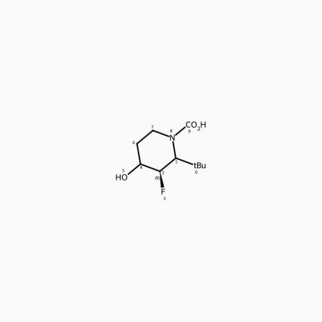 CC(C)(C)C1[C@@H](F)C(O)CCN1C(=O)O